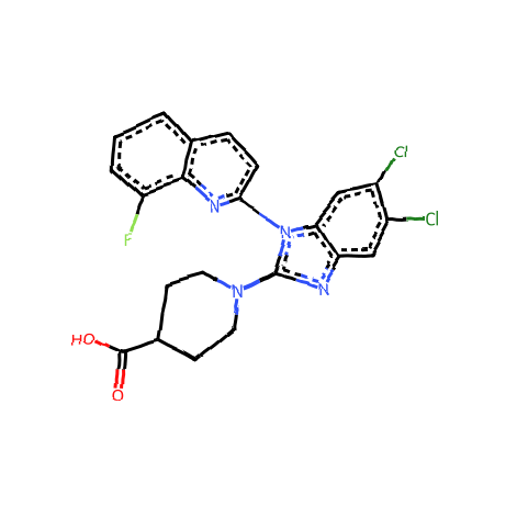 O=C(O)C1CCN(c2nc3cc(Cl)c(Cl)cc3n2-c2ccc3cccc(F)c3n2)CC1